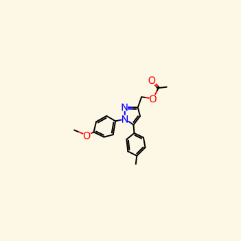 COc1ccc(-n2nc(COC(C)=O)cc2-c2ccc(C)cc2)cc1